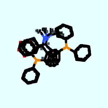 CN(C)[C@H](c1ccccc1)[C]12[CH]3[CH]4[CH]5[C]1(P(c1ccccc1)c1ccccc1)[Fe]43521678[CH]2[CH]1[C]6([C@@H](c1ccccc1)N(C)C)[C@@]7(P(c1ccccc1)c1ccccc1)[CH]28